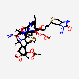 COCOc1c(OC)c(C)cc2c1[C@@H]1C3[C@@H]4SC[C@H](NC(=O)CCCCC5SCC6NC(=O)NC65)C(=O)OC[C@@H](c5c6c(c(C)c(OC(C)=O)c54)OCO6)N3[C@@H](C#N)[C@H](C2)N1C